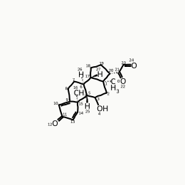 C[C@]12CC(O)[C@H]3[C@@H](CCC4=CC(=O)C=C[C@@]43C)[C@@H]1CC[C@@H]2C(=O)C=O